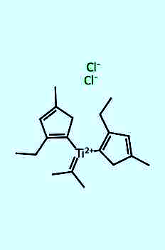 CCC1=[C]([Ti+2]([C]2=C(CC)C=C(C)C2)=[C](C)C)CC(C)=C1.[Cl-].[Cl-]